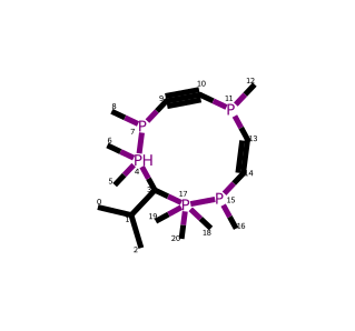 CC(C)C1[PH](C)(C)P(C)C#CP(C)/C=C\P(C)P1(C)(C)C